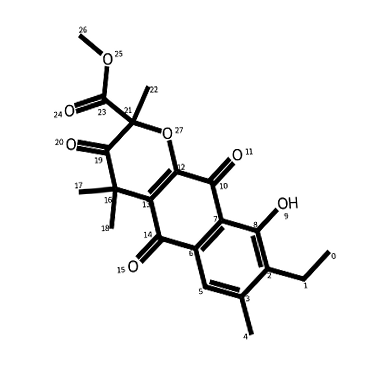 CCc1c(C)cc2c(c1O)C(=O)C1=C(C2=O)C(C)(C)C(=O)C(C)(C(=O)OC)O1